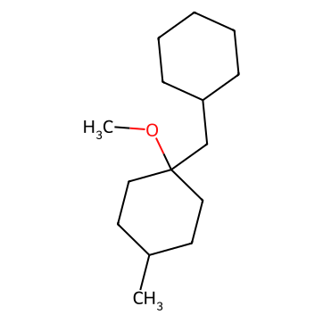 COC1(CC2CCCCC2)CCC(C)CC1